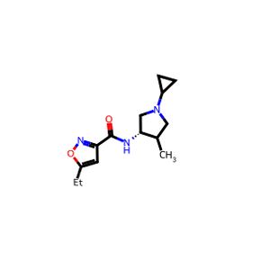 CCc1cc(C(=O)N[C@@H]2CN(C3CC3)CC2C)no1